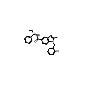 CC[C@@H](NC(=O)c1ccc2c(c1)nc(C)n2Cc1ccccc1Cl)c1ccccc1